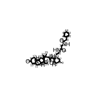 C[C@H]1C[C@H]2O[C@]3(CC[C@H]4[C@@H]5CCC6=CC(=O)CC[C@]6(C)[C@H]5CC45CC5(C)C3)[C@H](C)[C@@H]2N(CCNC(=O)CNC(=O)Cc2ccccc2)C1